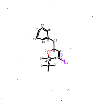 CC(C)(C)[Si](C)(C)OC(/C=C/I)Cc1ccccc1